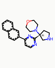 c1ccc2cc(-c3ccnc([C@@]4(N5CCOCC5)CCNC4)n3)ccc2c1